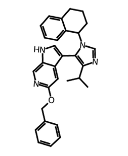 CC(C)c1ncn(C2CCCc3ccccc32)c1-c1c[nH]c2cnc(OCc3ccccc3)cc12